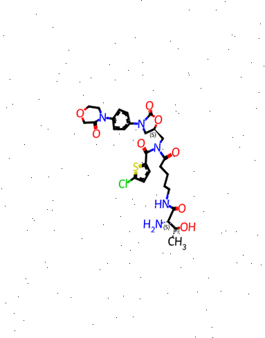 C[C@@H](O)[C@H](N)C(=O)NCCCCC(=O)N(C[C@H]1CN(c2ccc(N3CCOCC3=O)cc2)C(=O)O1)C(=O)c1ccc(Cl)s1